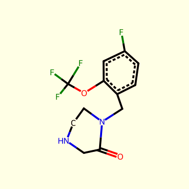 O=C1CNCCN1Cc1ccc(F)cc1OC(F)(F)F